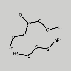 CCCSSSS.CCOOP(O)OOCC